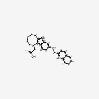 O=C(O)CC1CCCCCc2[nH]c3cc(OCc4ccc5ccccc5n4)ccc3c21